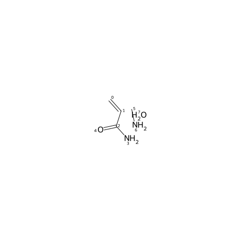 C=CC(N)=O.CN.O